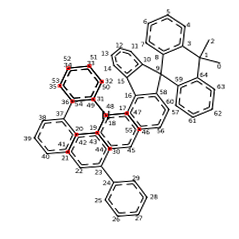 CC1(C)c2ccccc2C2(c3ccccc3-c3c(N(c4cccc(-c5ccccc5)c4)c4ccccc4-c4ccccc4-c4ccccc4-c4ccccc4)cccc32)c2ccccc21